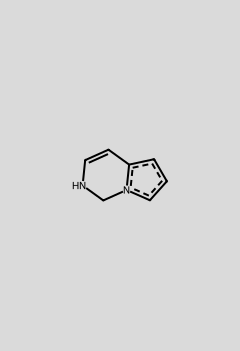 C1=Cc2cccn2CN1